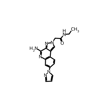 CCNC(=O)Cn1cc2c(n1)c(N)nc1cc(-n3cccn3)ccc12